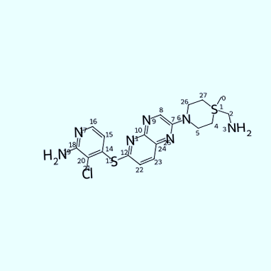 CS1(CN)CCN(c2cnc3nc(Sc4ccnc(N)c4Cl)ccc3n2)CC1